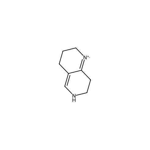 C1=C2CCC[N+]=C2CCN1